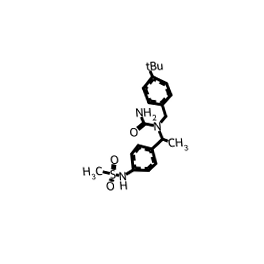 CC(c1ccc(NS(C)(=O)=O)cc1)N(Cc1ccc(C(C)(C)C)cc1)C(N)=O